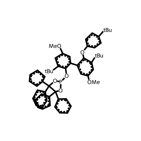 COc1cc(-c2cc(OC)cc(C(C)(C)C)c2OP2OC(c3ccccc3)(c3ccccc3)C(c3ccccc3)(c3ccccc3)O2)c(Oc2ccc(C(C)(C)C)cc2)c(C(C)(C)C)c1